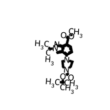 COC(=O)c1ccc(N2CCN(C(=O)OC(C)(C)C)CC2)c2cn(C(C)C)nc12